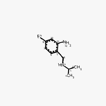 CC(C)NCc1ccc(F)cc1N